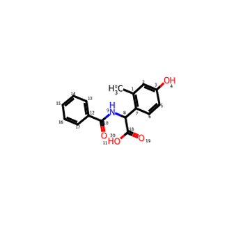 Cc1cc(O)ccc1C(NC(=O)c1ccccc1)C(=O)O